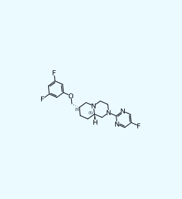 Fc1cnc(N2CCN3C[C@@H](COc4cc(F)cc(F)c4)CC[C@H]3C2)nc1